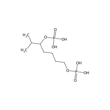 CC(C)C(CCCCOP(=O)(O)O)OP(=O)(O)O